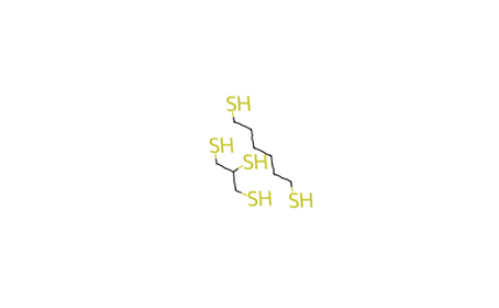 SCC(S)CS.SCCCCCCS